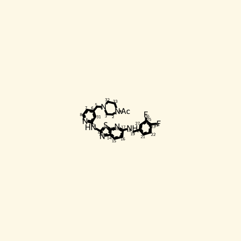 CC(=O)N1CCN(Cc2ccnc(Nc3nc4ccc(NCc5ccc(F)c(F)c5)nc4s3)c2)CC1